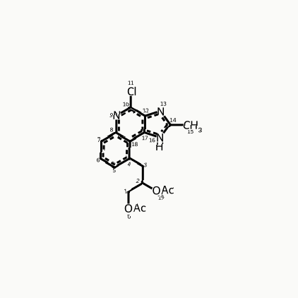 CC(=O)OCC(Cc1cccc2nc(Cl)c3nc(C)[nH]c3c12)OC(C)=O